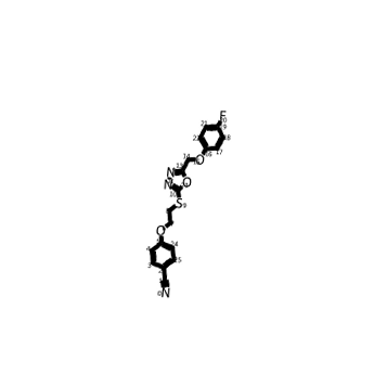 N#Cc1ccc(OCCSc2nnc(COc3ccc(F)cc3)o2)cc1